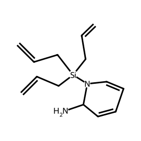 C=CC[Si](CC=C)(CC=C)N1C=CC=CC1N